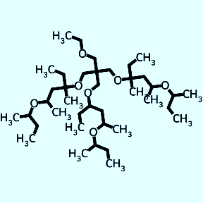 CCOCC(COC(CC)CC(C)OC(C)CC)(COC(C)(CC)CC(C)OC(C)CC)COC(C)(CC)CC(C)OC(C)CC